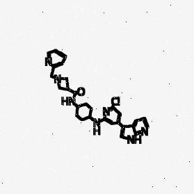 O=C(NC1CCC(Nc2cc(-c3c[nH]c4ncccc34)cc(Cl)n2)CC1)C1CN(Cc2ccccn2)C1